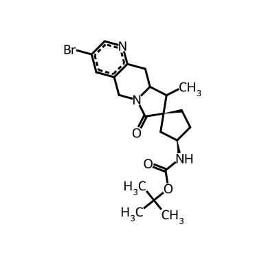 CC1C2Cc3ncc(Br)cc3CN2C(=O)[C@]12CC[C@@H](NC(=O)OC(C)(C)C)C2